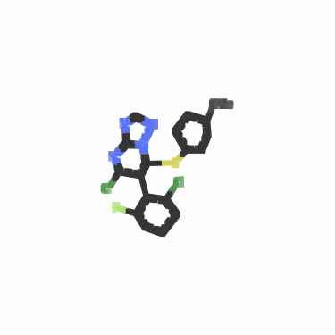 COc1ccc(Sc2c(-c3c(F)cccc3Cl)c(Cl)nc3ncnn23)cc1